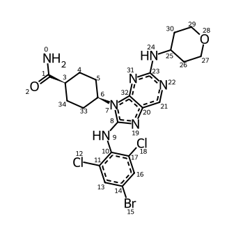 NC(=O)[C@H]1CC[C@@H](n2c(Nc3c(Cl)cc(Br)cc3Cl)nc3cnc(NC4CCOCC4)nc32)CC1